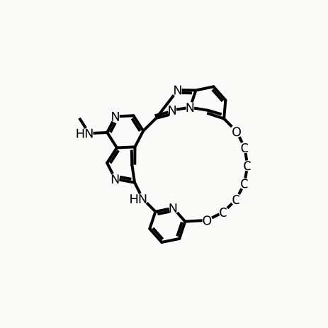 CNc1ncc2c3cc(ncc13)Nc1cccc(n1)OCCCCCOc1ccc3nc-2nn3c1